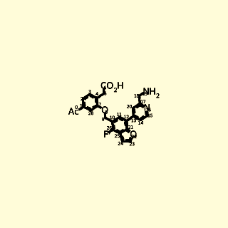 CC(=O)c1ccc(CC(=O)O)c(OCc2cc(-c3ccnc(CN)c3)c3occc3c2F)c1